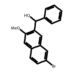 COc1cc2ccc(Br)cc2cc1C(O)c1ccccc1